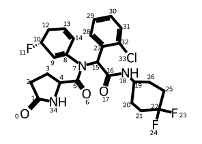 O=C1CCC(C(=O)N(C2=C[C@H](F)CC=C2)C(C(=O)NC2CCC(F)(F)CC2)c2ccccc2Cl)N1